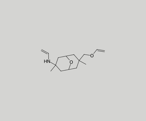 C=CNC1(C)CC2CC(C)(COC=C)CC(C1)O2